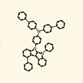 c1ccc(-c2ccc(N(c3ccc(-c4ccccc4)cc3)c3ccc(-n4c5cccc(-c6ccccc6)c5c5c6ccccc6n(-c6ccccc6)c54)cc3)cc2)cc1